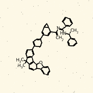 C=C(/N=C(\N[C@@H](C)c1ccccc1)c1ccccc1)C1=CC(C2=CC=C(c3ccc4c(c3)C3=C(C=CC5c6ccccc6OC35)C4(C)C)CC2)=CC2CC12